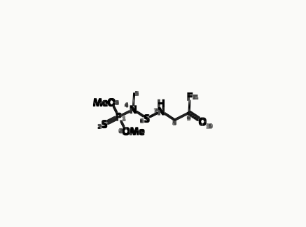 COP(=S)(OC)N(C)SNCC(=O)F